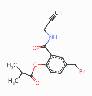 C#CCNC(=O)c1cc(CBr)ccc1OC(=O)C(C)C